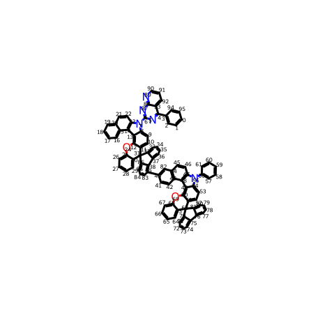 c1ccc(-c2nc(-n3c4ccc5c(c4c4c6ccccc6ccc43)Oc3ccccc3C53c4ccccc4-c4c(-c5ccc6c(ccc7c6c6c8c(ccc6n7-c6ccccc6)C6(c7ccccc7O8)c7ccccc7-c7ccccc76)c5)cccc43)nc3ncccc23)cc1